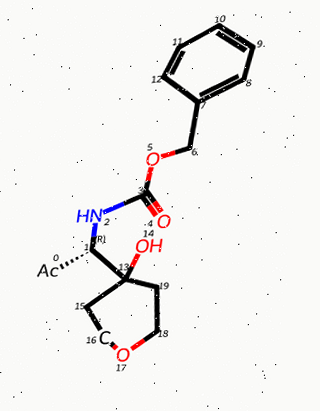 CC(=O)[C@H](NC(=O)OCc1ccccc1)C1(O)CCOCC1